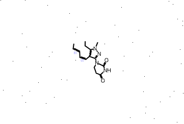 C/C=C/C=C\c1c(N2CCC(=O)NC2=O)nn(C)c1CC